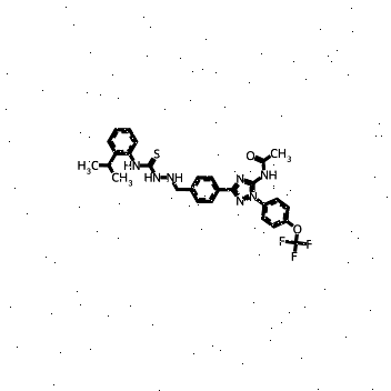 CC(=O)Nc1nc(-c2ccc(CNNC(=S)Nc3ccccc3C(C)C)cc2)nn1-c1ccc(OC(F)(F)F)cc1